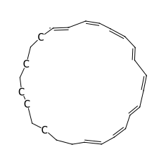 [C]1=C/C=C/C=C\C=C\C=C\C=C\C=C/C=C/CCCCCCCCCC/1